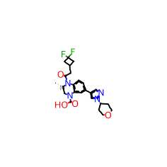 C[C@H]1CN(C(=O)O)c2cc(-c3cnn(C4CCOCC4)c3)ccc2N1C(=O)CC1CC(F)(F)C1